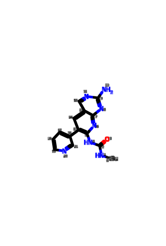 CC(C)(C)NC(=O)Nc1nc2nc(N)ncc2cc1-c1cccnc1